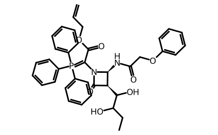 C=CCOC(=O)C(N1C(=O)[C@H](C(O)C(O)CC)[C@@H]1NC(=O)COc1ccccc1)=P(c1ccccc1)(c1ccccc1)c1ccccc1